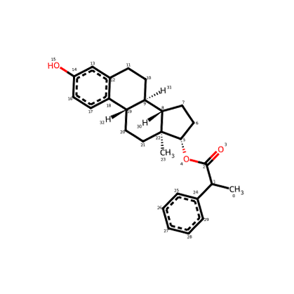 CC(C(=O)O[C@H]1CC[C@H]2[C@@H]3CCc4cc(O)ccc4[C@H]3CC[C@]12C)c1ccccc1